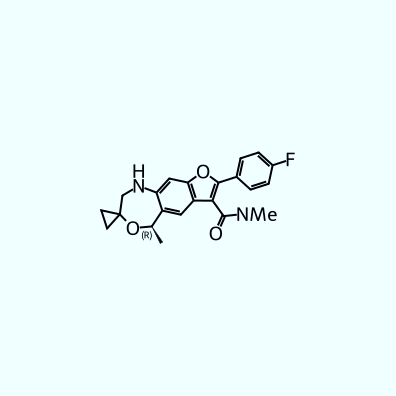 CNC(=O)c1c(-c2ccc(F)cc2)oc2cc3c(cc12)[C@@H](C)OC1(CC1)CN3